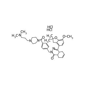 COc1ccc(C2=NN(Cc3ccc(C(=O)N4CCN(CCCN(C)C)CC4)cc3)C(=O)C3CC=CCC23)c2c1OC(C)(C)C2.Cl.Cl